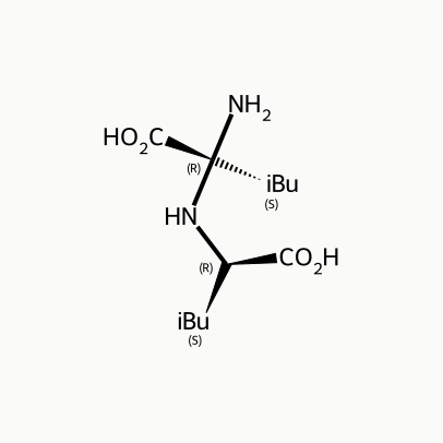 CC[C@H](C)[C@@H](N[C@@](N)(C(=O)O)[C@@H](C)CC)C(=O)O